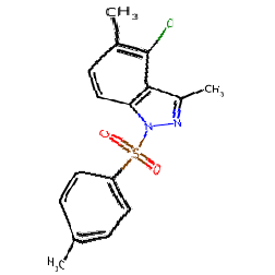 Cc1ccc(S(=O)(=O)n2nc(C)c3c(Cl)c(C)ccc32)cc1